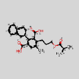 C=C(C)C(=O)OCCCc1c(C)cc(C(=O)O)c(-c2ccc3ccccc3c2)c1C(=O)O